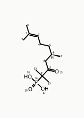 CC(C)=CCC[C@@H](C)CC(=O)C(C)(C)P(=O)(O)O